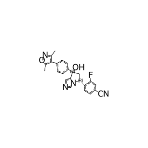 Cc1noc(C)c1-c1ccc([C@@]2(O)C[C@H](c3ccc(C#N)cc3F)n3cncc32)cc1